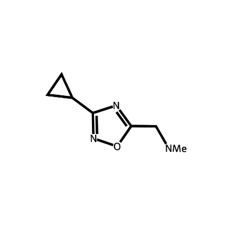 CNCc1nc(C2CC2)no1